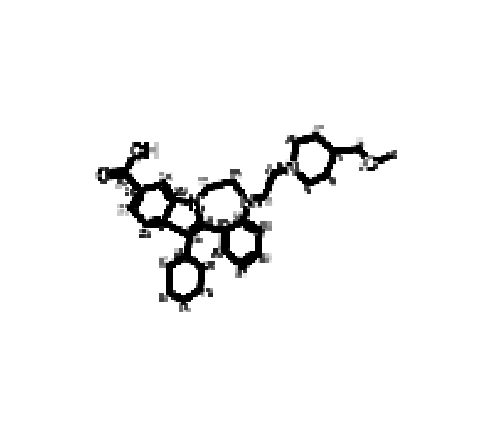 COCC1CCN(CCN2CCn3c(c(C4CCCCC4)c4ccc(C(=O)O)cc43)-c3ccccc32)CC1